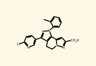 Cc1ccccc1-n1nc(-c2ccc(Cl)nc2)c2c1-c1cc(C(=O)O)nn1CC2